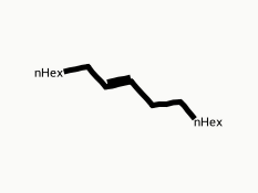 [CH2]CCCCCCC=CCCCCCCCC